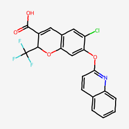 O=C(O)C1=Cc2cc(Cl)c(Oc3ccc4ccccc4n3)cc2OC1C(F)(F)F